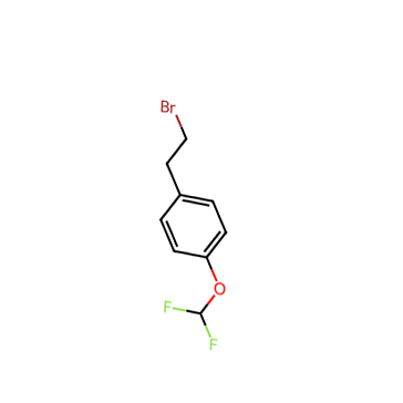 FC(F)Oc1ccc(CCBr)cc1